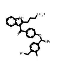 CCCC(Oc1ccc(C(=O)c2c(CCCC(=O)O)[nH]c3ccccc23)cc1)c1ccc(CC(C)C)c(F)c1